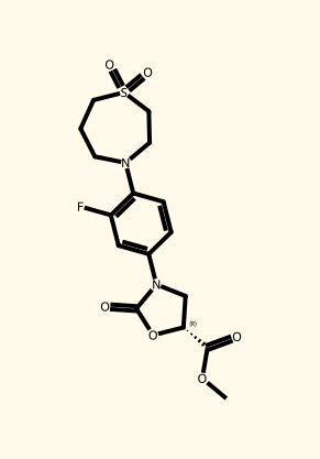 COC(=O)[C@H]1CN(c2ccc(N3CCCS(=O)(=O)CC3)c(F)c2)C(=O)O1